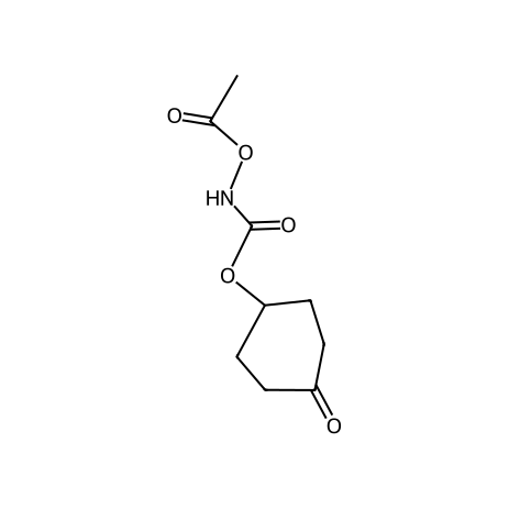 CC(=O)ONC(=O)OC1CCC(=O)CC1